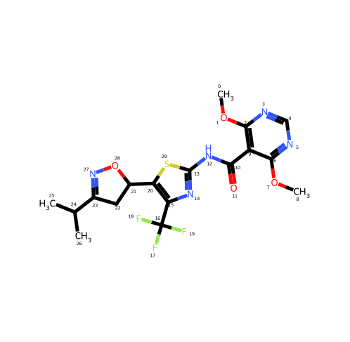 COc1ncnc(OC)c1C(=O)Nc1nc(C(F)(F)F)c(C2CC(C(C)C)=NO2)s1